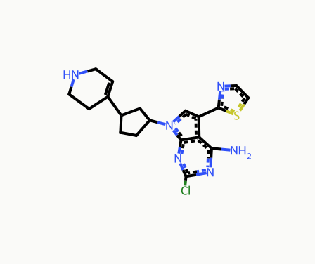 Nc1nc(Cl)nc2c1c(-c1nccs1)cn2C1CCC(C2=CCNCC2)C1